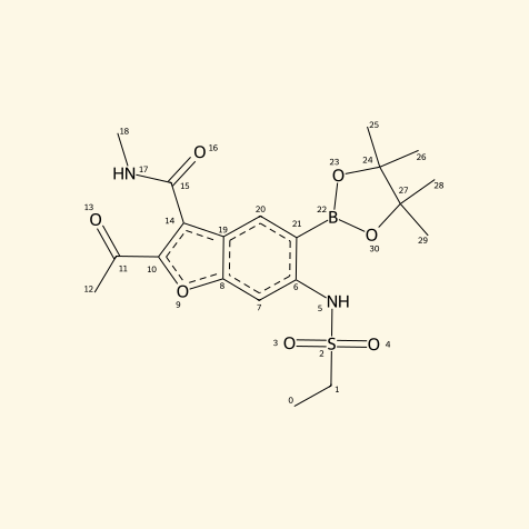 CCS(=O)(=O)Nc1cc2oc(C(C)=O)c(C(=O)NC)c2cc1B1OC(C)(C)C(C)(C)O1